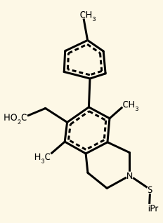 Cc1ccc(-c2c(C)c3c(c(C)c2CC(=O)O)CCN(SC(C)C)C3)cc1